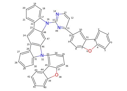 c1ccc2c(c1)oc1ccc(-c3ccnc(-n4c5ccccc5c5cc6c7ccccc7n(-c7cccc8oc9ccccc9c78)c6cc54)n3)cc12